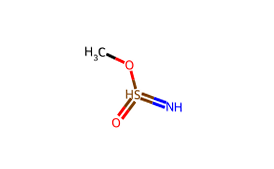 CO[SH](=N)=O